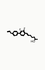 C=CCc1ccc(-c2ccc(C=CCCCC(C)O)c(F)c2F)cc1